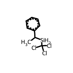 CC([SiH2]C(Cl)(Cl)Cl)c1ccccc1